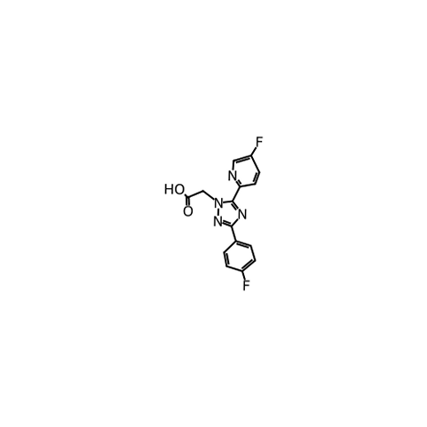 O=C(O)Cn1nc(-c2ccc(F)cc2)nc1-c1ccc(F)cn1